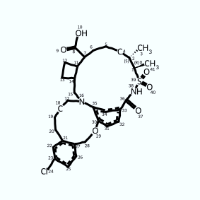 C[C@@H]1[C@@H](C)CCCC(C(=O)O)C2CCC2CN2CCCCc3cc(Cl)ccc3COc3ccc(cc32)C(=O)NS1(=O)=O